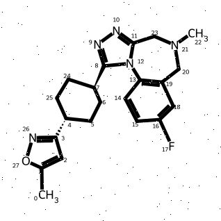 Cc1cc([C@H]2CC[C@H](c3nnc4n3-c3ccc(F)cc3CN(C)C4)CC2)no1